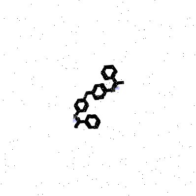 C/C(=N/c1ccc(Cc2ccc(/N=C(/C)c3ccccc3)cc2)cc1)c1ccccc1